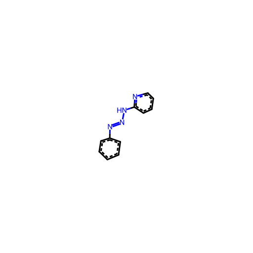 c1ccc(N=NNc2ccccn2)cc1